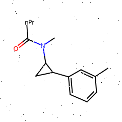 CCCC(=O)N(C)C1CC1c1cccc(C)c1